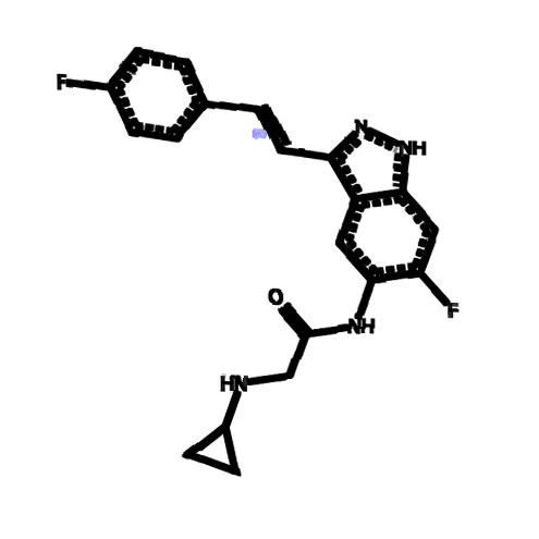 O=C(CNC1CC1)Nc1cc2c(/C=C/c3ccc(F)cc3)n[nH]c2cc1F